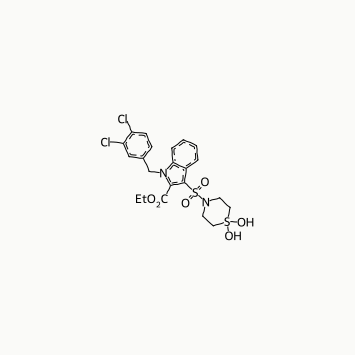 CCOC(=O)c1c(S(=O)(=O)N2CCS(O)(O)CC2)c2ccccc2n1Cc1ccc(Cl)c(Cl)c1